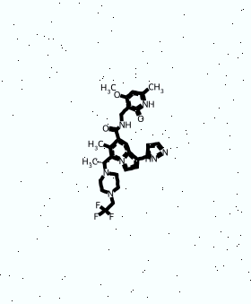 COc1cc(C)[nH]c(=O)c1CNC(=O)c1cc2c(-c3ccn[nH]3)ccn2c([C@@H](C)N2CCN(CC(F)(F)F)CC2)c1C